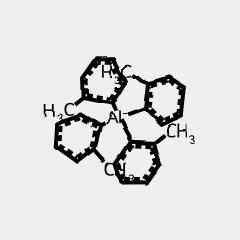 Cc1cccc[c]1[Al-]([c]1ccccc1C)([c]1ccccc1C)[c]1ccccc1C